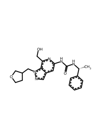 C[C@@H](NC(=O)Nc1cc2cnn(CC3CCOC3)c2c(CO)n1)c1ccccc1